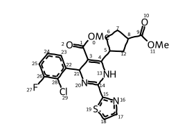 COC(=O)C1=C(C2CCC(C(=O)OC)C2)NC(c2nccs2)=NC1c1cccc(F)c1Cl